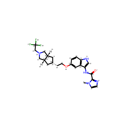 Cn1ccnc1C(=O)Nc1c[nH]c2ccc(OCC[C@@H]3C[C@@H]4CN(CC(F)(F)F)C[C@@H]4C3)cc12